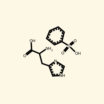 NC(Cc1c[nH]cn1)C(=O)O.O=S(=O)(O)c1ccccc1